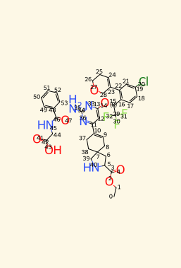 CCOC(=O)C1CC2(CC=C(c3cc(O[C@H](c4ccc(Cl)cc4C4=CCCOC4)C(F)(F)F)nc(N)n3)CC2)CN1.O=C(O)CNC(=O)c1ccccc1